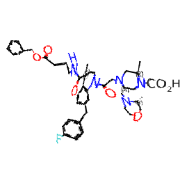 C[C@@H]1COCCN1C[C@H]1CN(C(=O)O)[C@H](C)CN1CC(=O)N1C[C@@](C)(C(=O)NCCCC(=O)OCc2ccccc2)c2ccc(Cc3ccc(F)cc3)cc21